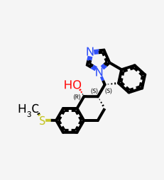 CSc1ccc2c(c1)[C@H](O)[C@H]([C@H]1c3ccccc3-c3cncn31)CC2